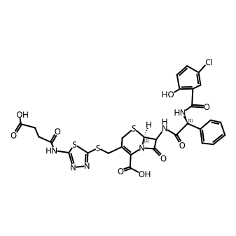 O=C(O)CCC(=O)Nc1nnc(SCC2=C(C(=O)O)N3C(=O)C(NC(=O)[C@@H](NC(=O)c4cc(Cl)ccc4O)c4ccccc4)[C@@H]3SC2)s1